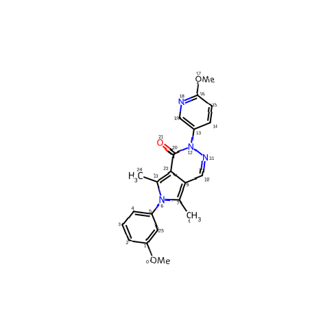 COc1cccc(-n2c(C)c3cnn(-c4ccc(OC)nc4)c(=O)c3c2C)c1